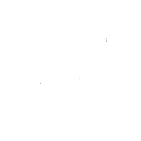 CC1CCC(CN2CCC3(CC2)CC(N)C3)CC1